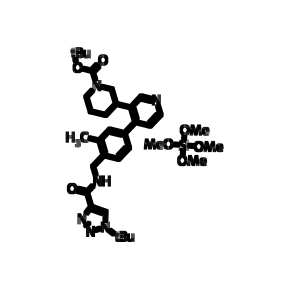 CO[Si](OC)(OC)OC.Cc1cc(-c2ccncc2C2CCCN(C(=O)OC(C)(C)C)C2)ccc1CNC(=O)c1cn(C(C)(C)C)nn1